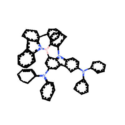 C1=CCC(N(c2ccccc2)c2cc3c4c(c2)c2cc(N(c5ccccc5)c5ccccc5)ccc2n4-c2ccccc2B3n2c3ccccc3c3cccc(-c4ccccc4)c32)C=C1